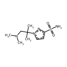 CN(C)CC(C)(C)n1ccc(S(N)(=O)=O)n1